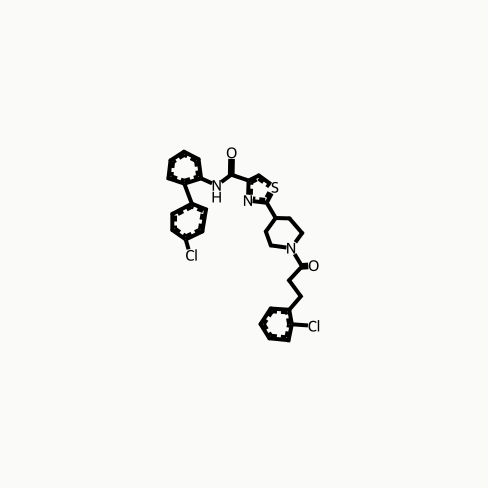 O=C(Nc1ccccc1-c1ccc(Cl)cc1)c1csc(C2CCN(C(=O)CCc3ccccc3Cl)CC2)n1